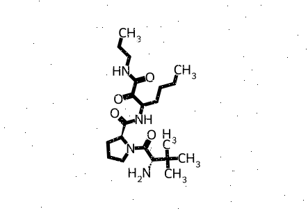 CCCCC(NC(=O)[C@@H]1CCCN1C(=O)[C@@H](N)C(C)(C)C)C(=O)C(=O)NCCC